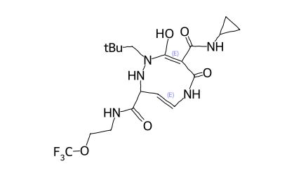 CC(C)(C)CN1NC(C(=O)NCCOC(F)(F)F)/C=C/NC(=O)/C(C(=O)NC2CC2)=C\1O